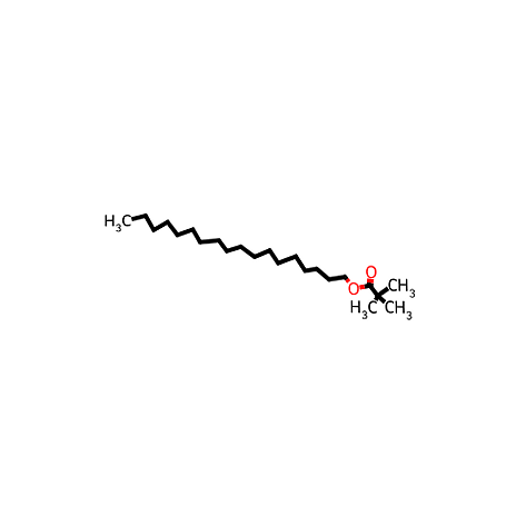 CCCCCCCCCCCCCCCCCCOC(=O)C(C)(C)C